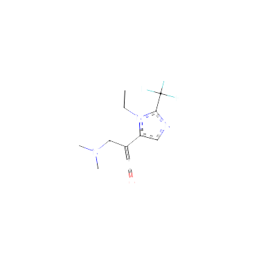 CCn1c(C(=C=O)CN(C)C)cnc1C(F)(F)F